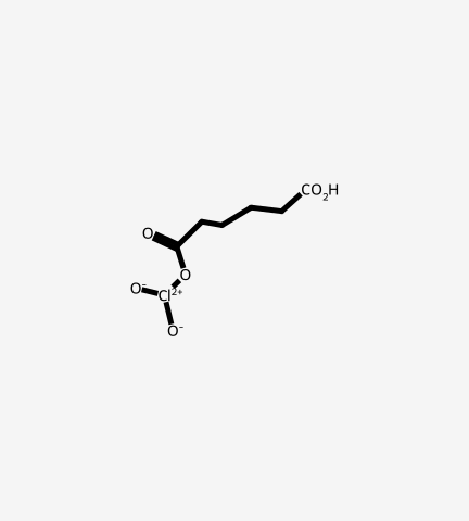 O=C(O)CCCCC(=O)O[Cl+2]([O-])[O-]